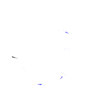 CC[C@H](C)[C@H](N)C(=O)NCC(=O)N[C@H](C(=O)N[C@H](C(=O)N[C@@H](C)C(=O)O)[C@@H](C)CC)C(C)C